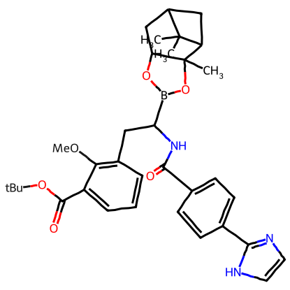 COc1c(CC(NC(=O)c2ccc(-c3ncc[nH]3)cc2)B2OC3CC4CC(C4(C)C)C3(C)O2)cccc1C(=O)OC(C)(C)C